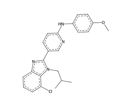 COc1ccc(Nc2ccc(-c3nc4cccc(Cl)c4n3CC(C)C)cn2)cc1